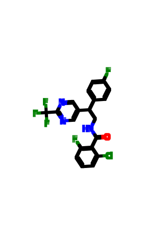 O=C(NCC(c1ccc(F)cc1)c1cnc(C(F)(F)F)nc1)c1c(F)cccc1Cl